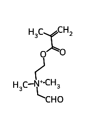 C=C(C)C(=O)OCC[N+](C)(C)CC=O